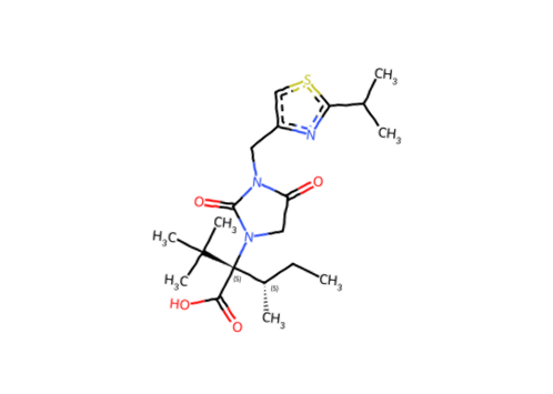 CC[C@H](C)[C@](C(=O)O)(N1CC(=O)N(Cc2csc(C(C)C)n2)C1=O)C(C)(C)C